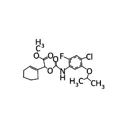 COC(=O)C(OC(=O)Nc1cc(OC(C)C)c(Cl)cc1F)C1=CCCCC1